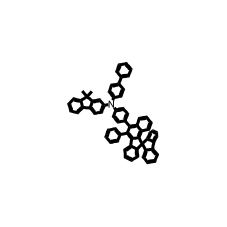 CC1(C)c2ccccc2-c2ccc(N(c3ccc(-c4ccccc4)cc3)c3ccc(-c4c(-c5ccccc5)c5c(c6ccccc46)C4(c6ccccc6-c6ccccc64)c4ccccc4-5)cc3)cc21